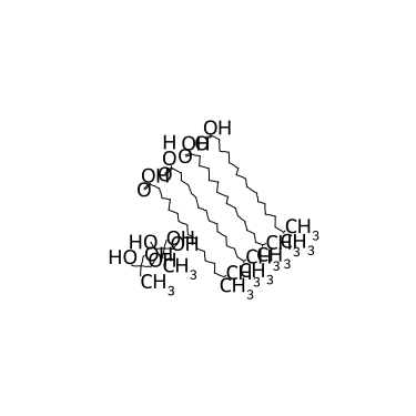 CC(C)CCCCCCCCCCCCCCC(=O)O.CC(C)CCCCCCCCCCCCCCC(=O)O.CC(C)CCCCCCCCCCCCCCC(=O)O.CC(C)CCCCCCCCCCCCCCC(=O)O.CCC(CO)(CO)CO.CCC(CO)(CO)CO